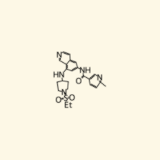 CCS(=O)(=O)N1CCC(Nc2cc(NC(=O)c3ccc(C)nc3)cc3ccncc23)CC1